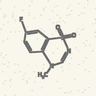 CN1C=NS(=O)(=O)c2cc(F)ccc21